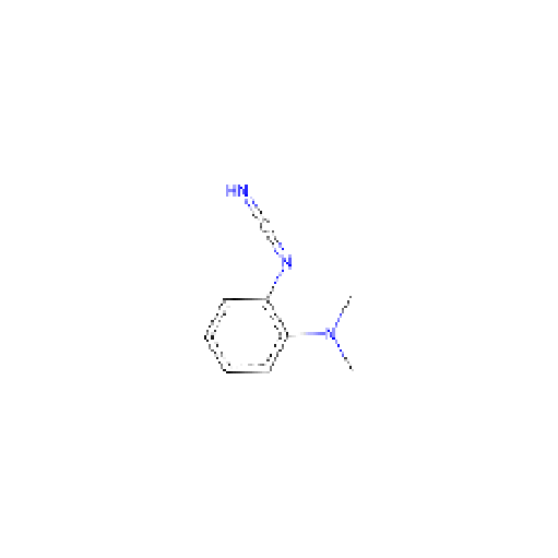 CN(C)c1ccccc1N=C=N